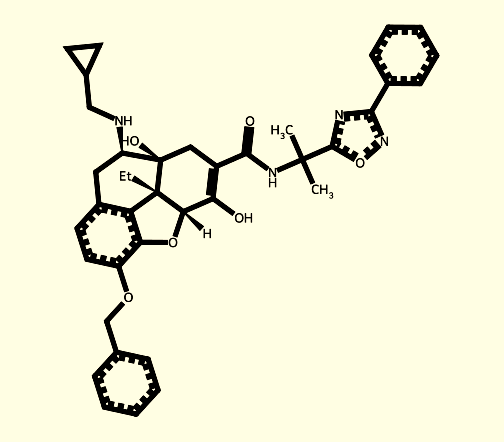 CC[C@]12c3c4ccc(OCc5ccccc5)c3O[C@H]1C(O)=C(C(=O)NC(C)(C)c1nc(-c3ccccc3)no1)C[C@@]2(O)[C@H](NCC1CC1)C4